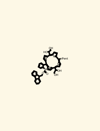 CCCCCc1c2nc(c(C(O)CO)c3ccc([nH]3)c(-c3ccccc3NC(=O)OCC3c4ccccc4-c4ccccc43)c3nc(c(C(O)CO)c4ccc1[nH]4)C=C3)C=C2